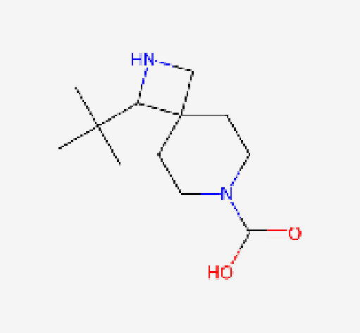 CC(C)(C)C1NCC12CCN(C(=O)O)CC2